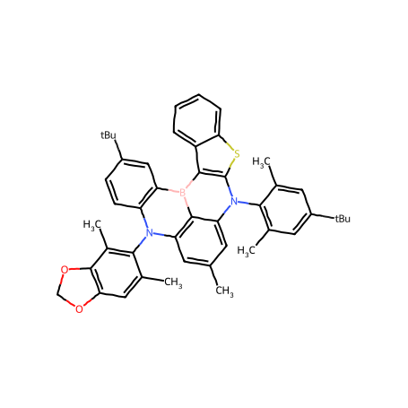 Cc1cc2c3c(c1)N(c1c(C)cc(C(C)(C)C)cc1C)c1sc4ccccc4c1B3c1cc(C(C)(C)C)ccc1N2c1c(C)cc2c(c1C)OCO2